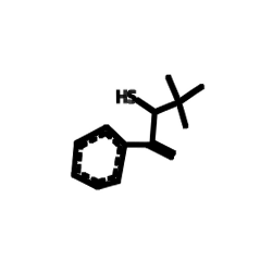 C=C(c1ccccc1)C(S)C(C)(C)C